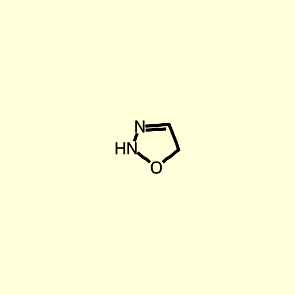 C1=NNOC1